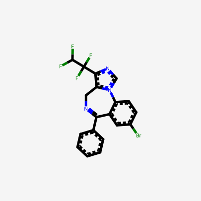 FC(F)C(F)(F)c1ncn2c1CN=C(c1ccccc1)c1cc(Br)ccc1-2